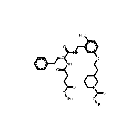 Cc1ccc(OCCC2CCCN(C(=O)OC(C)(C)C)C2)cc1CNC(=O)[C@H](CCc1ccccc1)NC(=O)CCC(=O)OC(C)(C)C